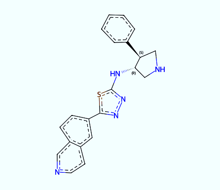 c1ccc([C@H]2CNC[C@@H]2Nc2nnc(-c3ccc4cnccc4c3)s2)cc1